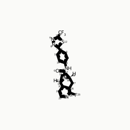 O=C(Nc1ccc(-c2nnc(C(F)(F)F)s2)cc1)N1[C@H]2CC[C@@H]1c1ccnc(F)c1C2